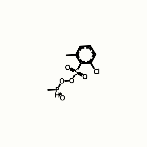 Cc1cccc(Cl)c1S(=O)(=O)OO[PH](C)=O